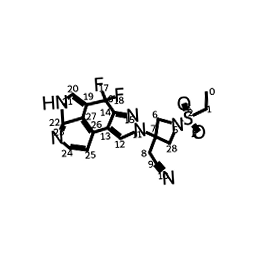 CCS(=O)(=O)N1CC(CC#N)(n2cc3c(n2)C(F)(F)c2c[nH]c4nccc-3c24)C1